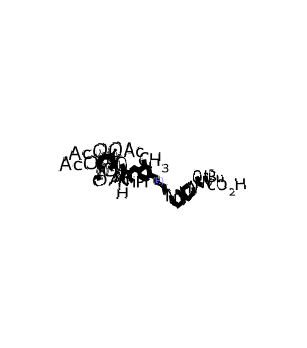 CC(=O)OC[C@H]1O[C@@H](Oc2n[nH]c(C(C)C)c2Cc2ccc(/C=C/CCN3CCCC4(CCN(C(=O)CN(C(=O)O)C(C)(C)C)CC4)C3)cc2C)[C@H](OC(C)=O)[C@@H](OC(C)=O)[C@@H]1OC(C)=O